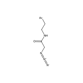 CC(=O)CCNC(=O)CN=[N+]=[N-]